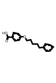 O=C(O)c1ccc(OCCCCCc2ccccc2)cc1